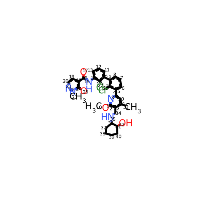 COc1nc(-c2cccc(-c3cccc(NC(=O)c4ccnn(C)c4=O)c3Cl)c2Cl)cc(C)c1CNC1CCCCC1O